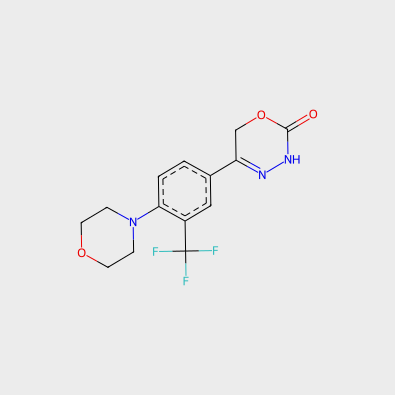 O=C1NN=C(c2ccc(N3CCOCC3)c(C(F)(F)F)c2)CO1